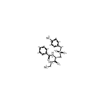 N#CCNC(=O)[C@H](CS(=O)(=O)Cc1ccc(C#N)cc1)NC(=O)c1ccccc1